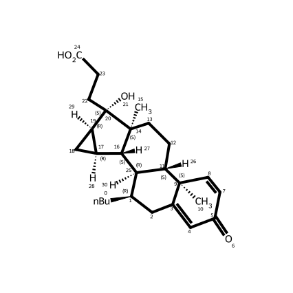 CCCC[C@@H]1CC2=CC(=O)C=C[C@]2(C)[C@H]2CC[C@@]3(C)[C@@H]([C@H]4C[C@H]4[C@@]3(O)CCC(=O)O)[C@H]12